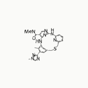 CNC(=O)c1cnc2nc1Nc1cc(cc(-c3ncn(C)n3)c1C)CSCc1cccc(n1)N2